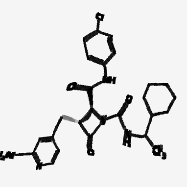 Nc1cc(C[C@H]2C(=O)N(C(=O)NC(C3CCCCC3)C(F)(F)F)[C@@H]2C(=O)Nc2ccc(Cl)cc2)ccn1